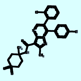 Cc1nn2c(-c3ccc(Cl)cc3)c(-c3ccccc3Cl)cnc2c1C(=O)NC1(C)CCS(=O)(=O)CC1